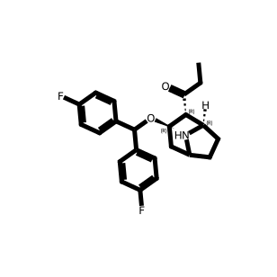 CCC(=O)[C@@H]1[C@H]2CCC(C[C@H]1OC(c1ccc(F)cc1)c1ccc(F)cc1)N2